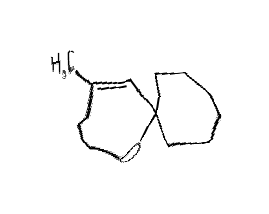 CC1=CC2(CCCCC2)OCC1